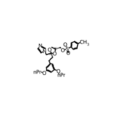 CCCOc1cc(CC[C@@]2(Cn3ccnc3)OC[C@@H](COS(=O)(=O)c3ccc(C)cc3)O2)cc(OCCC)c1